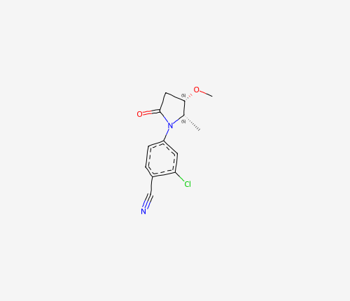 CO[C@H]1CC(=O)N(c2ccc(C#N)c(Cl)c2)[C@H]1C